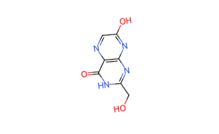 O=c1[nH]c(CO)nc2nc(O)cnc12